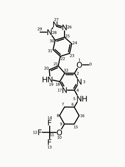 COc1nc(NC2CCC(OC(F)(F)F)CC2)nc2[nH]cc(-c3ccc4nnn(C)c4c3)c12